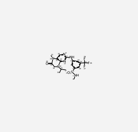 CN[S+]([O-])c1cc(Nc2ncc3c(n2)N(C(C)C)CC(=O)N3C)cc(C(F)(F)F)c1